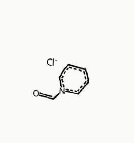 O=C[n+]1ccccc1.[Cl-]